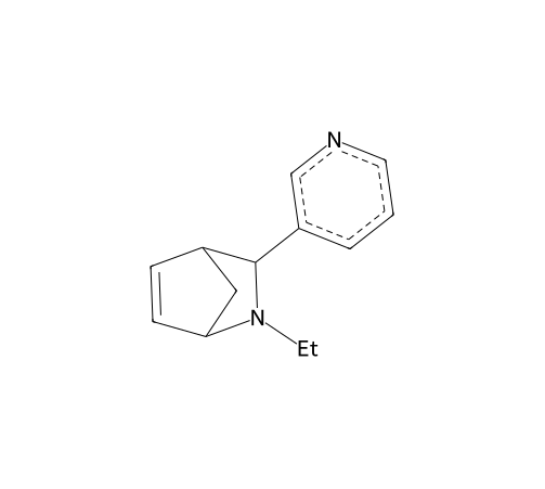 CCN1C2C=CC(C2)C1c1cccnc1